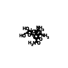 C[C@@]1(O)[C@H](O)[C@@H](CO)O[C@H]1n1cc(C(N)=O)c(=O)c2c(N)nc(N)nc21